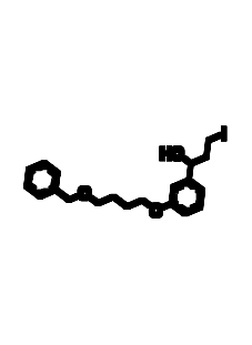 OC(CCI)c1cccc(OCCCCOCc2ccccc2)c1